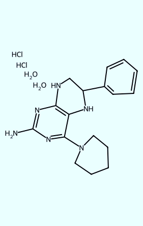 Cl.Cl.Nc1nc2c(c(N3CCCCC3)n1)NC(c1ccccc1)CN2.O.O